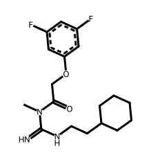 CN(C(=N)NCCC1CCCCC1)C(=O)COc1cc(F)cc(F)c1